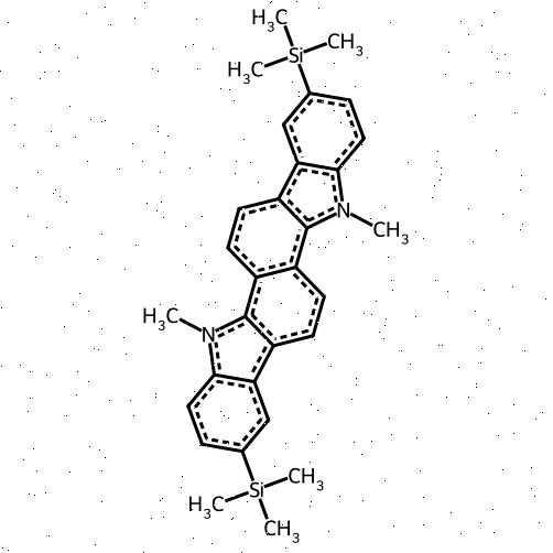 Cn1c2ccc([Si](C)(C)C)cc2c2ccc3c(ccc4c5cc([Si](C)(C)C)ccc5n(C)c43)c21